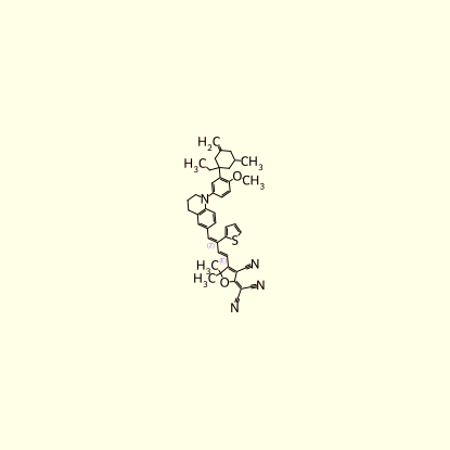 C=C1CC(C)CC(CC)(c2cc(N3CCCc4cc(/C=C(/C=C/C5=C(C#N)C(=C(C#N)C#N)OC5(C)C)c5cccs5)ccc43)ccc2OC)C1